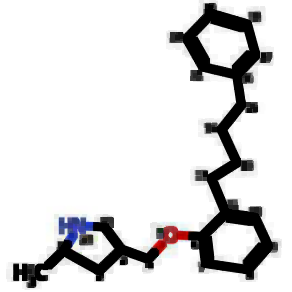 CC1CC(COc2ccccc2CCCCc2ccccc2)CN1